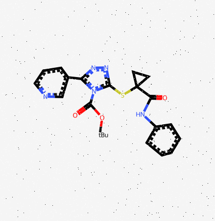 CC(C)(C)OC(=O)n1c(SC2(C(=O)Nc3ccccc3)CC2)nnc1-c1cccnc1